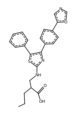 CCCC(CNc1nc(-c2ccc(-c3cnco3)cc2)c(-c2ccccc2)s1)C(=O)O